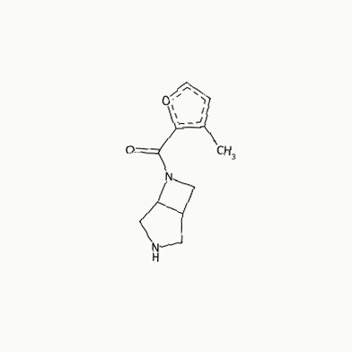 Cc1ccoc1C(=O)N1CC2CNCC21